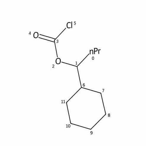 CCCC(OC(=O)Cl)C1CCCCC1